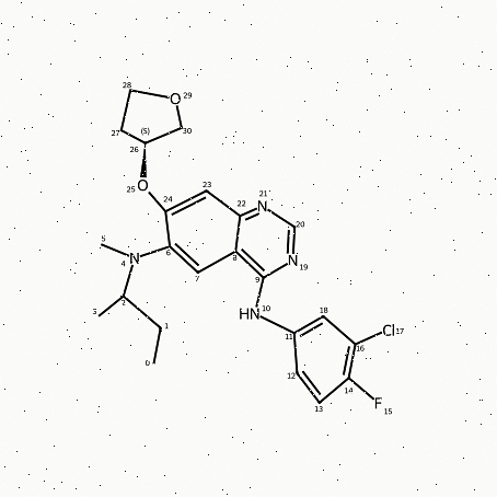 CCC(C)N(C)c1cc2c(Nc3ccc(F)c(Cl)c3)ncnc2cc1O[C@H]1CCOC1